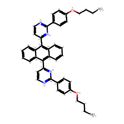 O=[N+]([O-])CCCOc1ccc(-c2nccc(-c3c4ccccc4c(-c4ccnc(-c5ccc(OCCC[N+](=O)[O-])cc5)n4)c4ccccc34)n2)cc1